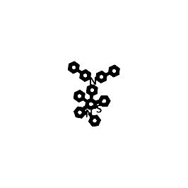 c1ccc(-c2ccc(N(c3ccc(-c4ccccc4)cc3)c3ccc(-c4c(-c5ccccc5)c5c6ccccc6n(-c6ccccc6)c5c5sc6ccccc6c45)cc3)cc2)cc1